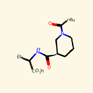 CCCCC(=O)N1CCC[C@@H](C(=O)NC(CC)C(=O)O)C1